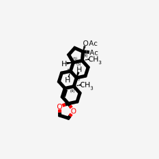 CC(=O)O[C@]1(C(C)=O)CC[C@H]2[C@@H]3CCC4=CC5(CC[C@]4(C)[C@H]3CC[C@@]21C)OCCO5